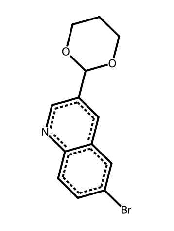 Brc1ccc2ncc(C3OCCCO3)cc2c1